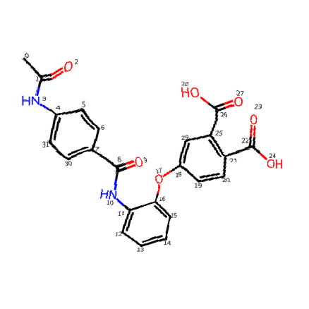 CC(=O)Nc1ccc(C(=O)Nc2ccccc2Oc2ccc(C(=O)O)c(C(=O)O)c2)cc1